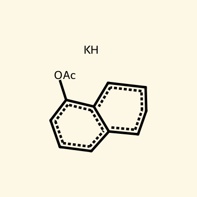 CC(=O)Oc1cccc2ccccc12.[KH]